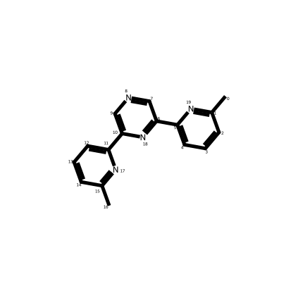 Cc1cccc(-c2cncc(-c3cccc(C)n3)n2)n1